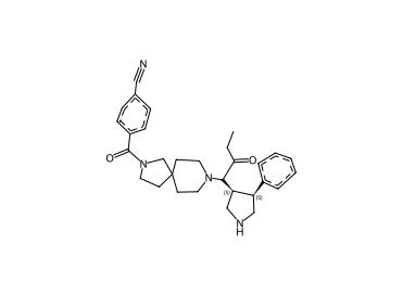 CCC(=O)C([C@@H]1CNC[C@@H]1c1ccccc1)N1CCC2(CCN(C(=O)c3ccc(C#N)cc3)C2)CC1